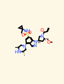 C=CC(=O)N1C[C@H](n2ncc3c(N4C[C@H](C)N[C@@H](C)C4)cc(S(=O)(=O)NC4(C)CC4)cc32)C[C@H]1COC